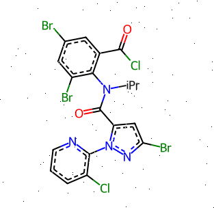 CC(C)N(C(=O)c1cc(Br)nn1-c1ncccc1Cl)c1c(Br)cc(Br)cc1C(=O)Cl